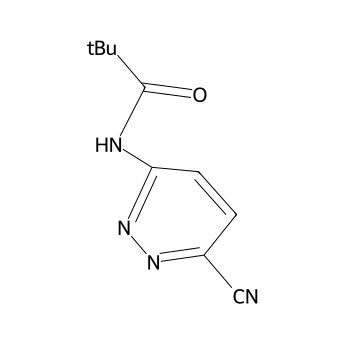 CC(C)(C)C(=O)Nc1ccc(C#N)nn1